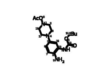 CC(=O)ON1CCN(c2ccc(N)c(NC(=O)OC(C)(C)C)c2)CC1